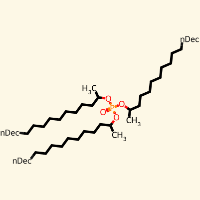 CCCCCCCCCCCCCCCCCCCC(C)OP(=O)(OC(C)CCCCCCCCCCCCCCCCCCC)OC(C)CCCCCCCCCCCCCCCCCCC